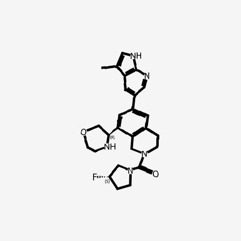 Cc1c[nH]c2ncc(-c3cc4c(c([C@@H]5COCCN5)c3)CN(C(=O)N3CC[C@H](F)C3)CC4)cc12